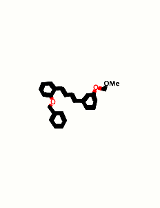 COCOc1cccc(/C=C/C=C/c2ccccc2OCc2ccccc2)c1